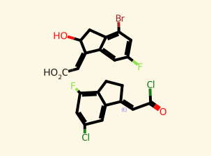 O=C(Cl)/C=C1\CCc2c(F)cc(Cl)cc21.O=C(O)C=C1c2cc(F)cc(Br)c2CC1O